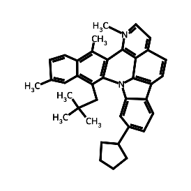 Cc1ccc2c(C)c3c(c(CC(C)(C)C)c2c1)n1c2cc(C4CCCC4)ccc2c2ccc4cc[n+](C)c3c4c21